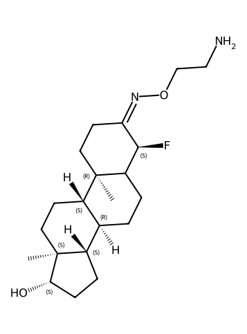 C[C@]12CC[C@H]3[C@@H](CCC4[C@H](F)C(=NOCCN)CC[C@@]43C)[C@@H]1CC[C@@H]2O